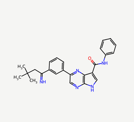 CC(C)(C)CC(=N)c1cccc(-c2cnc3[nH]cc(C(=O)Nc4ccccc4)c3n2)c1